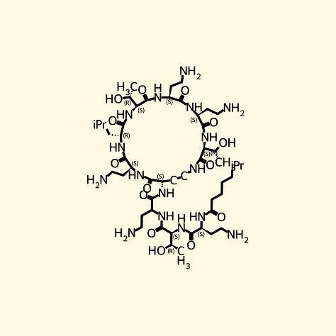 CC(C)CCCCC(=O)N[C@@H](CCN)C(=O)N[C@H](C(=O)NC(CCN)C(=O)N[C@H]1CCNC(=O)[C@H]([C@@H](C)O)NC(=O)[C@H](CCN)NC(=O)[C@H](CCN)NC(=O)[C@H]([C@@H](C)O)NC(=O)[C@@H](CC(C)C)NC(=O)[C@H](CCN)NC1=O)[C@@H](C)O